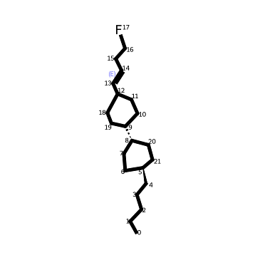 CCCCC[C@H]1CC[C@H](C2CCC(/C=C/CCF)CC2)CC1